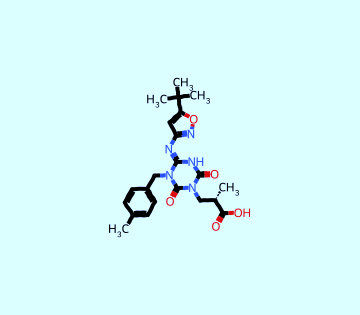 Cc1ccc(Cn2c(=O)n(C[C@H](C)C(=O)O)c(=O)[nH]/c2=N\c2cc(C(C)(C)C)on2)cc1